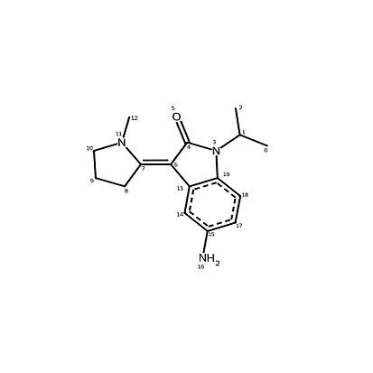 CC(C)N1C(=O)/C(=C2/CCCN2C)c2cc(N)ccc21